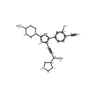 CC1CCN(c2nc(-c3ccc(C#N)c(F)c3)c(C#CC(O)C3CCOC3)s2)CC1